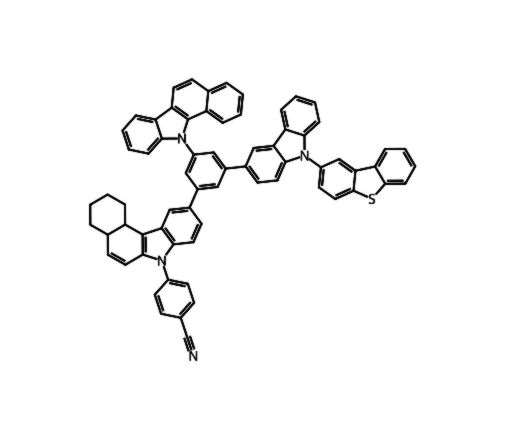 N#Cc1ccc(-n2c3c(c4cc(-c5cc(-c6ccc7c(c6)c6ccccc6n7-c6ccc7sc8ccccc8c7c6)cc(-n6c7ccccc7c7ccc8ccccc8c76)c5)ccc42)C2CCCCC2C=C3)cc1